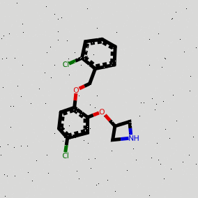 Clc1ccc(OCc2ccccc2Cl)c(OC2CNC2)c1